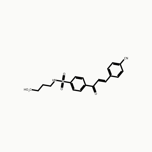 N#Cc1ccc(C=CC(=O)c2ccc(S(=O)(=O)NCCCC(=O)O)cc2)cc1